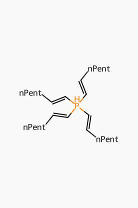 CCCCC/C=C/[PH](/C=C/CCCCC)(/C=C/CCCCC)/C=C/CCCCC